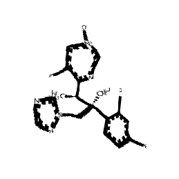 C[C@@H](c1nc[n+]([O-])cc1F)[C@](O)(Cn1cncn1)c1ccc(F)cc1F